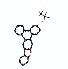 CC1(C)OB(c2ccc3c(c2)c2ccccc2c2cc4c(cc32)oc2ccccc24)OC1(C)C